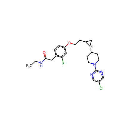 O=C(Cc1ccc(OCCC2C[C@@H]2C2CCN(c3ncc(Cl)cn3)CC2)cc1F)NCC(F)(F)F